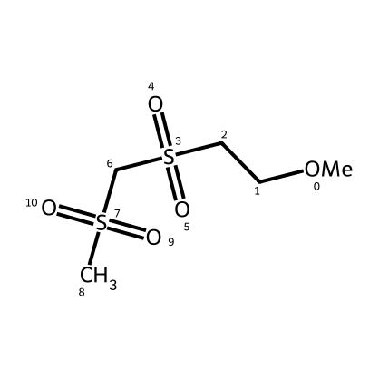 COCCS(=O)(=O)CS(C)(=O)=O